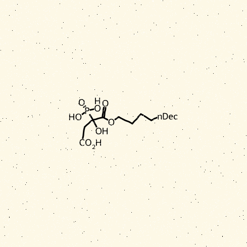 CCCCCCCCCCCCCCOC(=O)C(O)(CC(=O)O)P(=O)(O)O